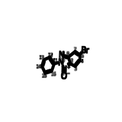 [O-][n+]1c2ccc(Br)cc2nn1-c1ccccc1